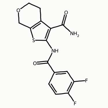 NC(=O)c1c(NC(=O)c2ccc(F)c(F)c2)sc2c1CCOC2